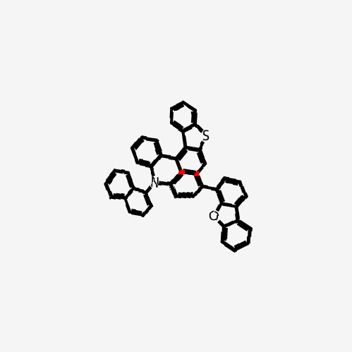 c1ccc(N(c2ccc(-c3cccc4c3oc3ccccc34)cc2)c2cccc3ccccc23)c(-c2cccc3sc4ccccc4c23)c1